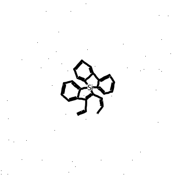 C=CC1=C(/C=C\C)[Si]2(c3ccccc31)c1ccccc1-c1ccccc12